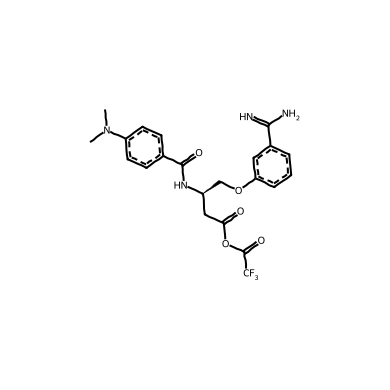 CN(C)c1ccc(C(=O)N[C@@H](COc2cccc(C(=N)N)c2)CC(=O)OC(=O)C(F)(F)F)cc1